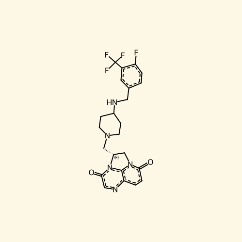 O=c1ccc2ncc(=O)n3c2n1C[C@H]3CN1CCC(NCc2ccc(F)c(C(F)(F)F)c2)CC1